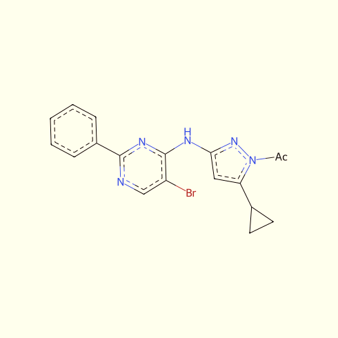 CC(=O)n1nc(Nc2nc(-c3ccccc3)ncc2Br)cc1C1CC1